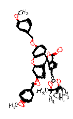 COc1ccc(COc2ccc3c(c2)Oc2cc(OCc4ccc(OC)cc4)ccc2C32OC(=O)c3ccc(B4OC(C)(C)C(C)(C)O4)cc32)cc1